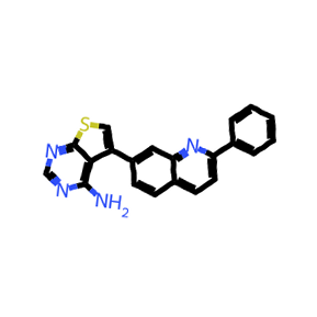 Nc1ncnc2scc(-c3ccc4ccc(-c5ccccc5)nc4c3)c12